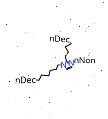 CCCCCCCCCCCCCCCC[n+]1ccn(CCCCCCCCC)c1CCCCCCCCCCCCCC